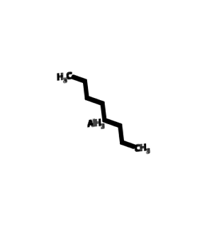 CCCCCCCC.[AlH3]